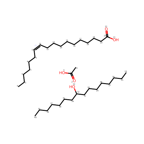 CC(=O)O.CCCCCC/C=C\CCCCCCCCCC(=O)O.CCCCCCCCC(O)CCCCCCC